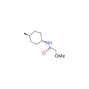 COCC(=O)N[C@H]1CC[C@@H](C)CC1